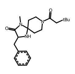 CN1C(=O)C(Cc2ccccc2)NC12CCN(C(=O)CC(C)(C)C)CC2